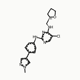 Cn1cc(-c2ccc(Nc3ncc(Cl)c(NC[C@H]4CCCO4)n3)cc2)cn1